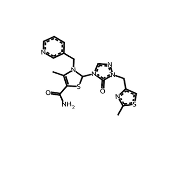 CC1=C(C(N)=O)SC(n2cnn(Cc3csc(C)n3)c2=O)N1Cc1cccnc1